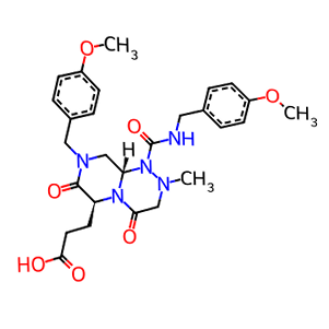 COc1ccc(CNC(=O)N2[C@H]3CN(Cc4ccc(OC)cc4)C(=O)[C@H](CCC(=O)O)N3C(=O)CN2C)cc1